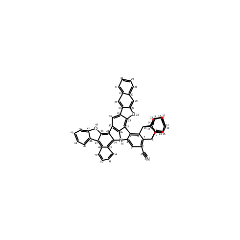 N#Cc1cc2c(c3c1C1c4ccccc4C3c3ccccc31)c1c3oc4cc5ccccc5cc4c3cc3c4c5oc6ccccc6c5c5ccccc5c4n2c31